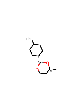 CCCC1CCC([C@H]2OCC[C@H](C)O2)CC1